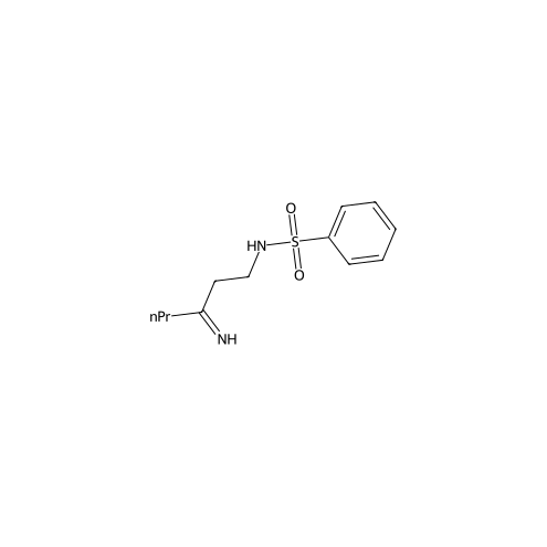 CCCC(=N)CCNS(=O)(=O)c1ccccc1